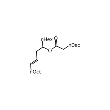 CCCCCCCCC=CCC(CCCCCC)OC(=O)CCCCCCCCCCC